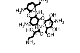 NCC[C@H](O)C(=O)N[C@@H]1C[C@H](N)C(O[C@H]2OC(CN)C=CC2N)C(N)[C@H]1O[C@H]1OC(CO)[C@@H](O)[C@H](N)C1O